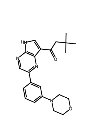 CC(C)(C)CC(=O)c1c[nH]c2ncc(-c3cccc(N4CCOCC4)c3)nc12